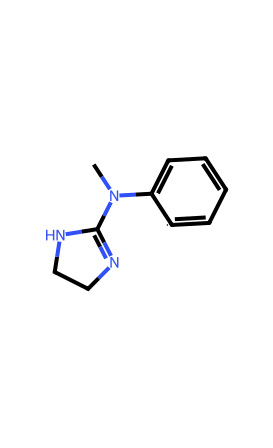 CN(C1=NCCN1)c1[c]cccc1